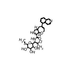 CSC1OC([C@H](NC(=O)[C@H]2NC[C@@H]3CC(c4cccc5cnccc45)=CCO[C@H]32)[C@H](C)Cl)C(O)C(O)C1O